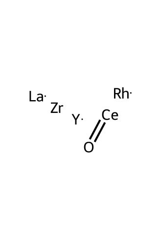 [La].[O]=[Ce].[Rh].[Y].[Zr]